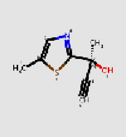 C#C[C@](C)(O)c1ncc(C)s1